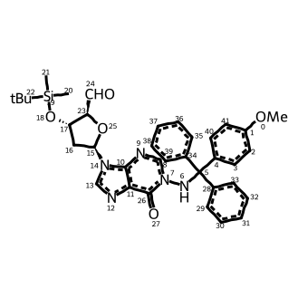 COc1ccc(C(Nn2cnc3c(ncn3[C@H]3C[C@H](O[Si](C)(C)C(C)(C)C)[C@@H](C=O)O3)c2=O)(c2ccccc2)c2ccccc2)cc1